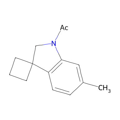 CC(=O)N1CC2(CCC2)c2ccc(C)cc21